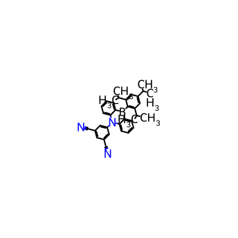 CC(C)c1cc(C(C)C)c(B2c3ccccc3N(c3cc(C#N)cc(C#N)c3)c3ccccc32)c(C(C)C)c1